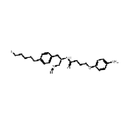 Nc1ccc(OCCCC(=O)NC(CN=O)Cc2ccc(CCCCCF)cc2)cc1